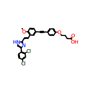 COc1ccc(C#Cc2ccc(OCCCC(=O)O)cc2)cc1C=Cc1nc(-c2ccc(Cl)cc2Cl)c[nH]1